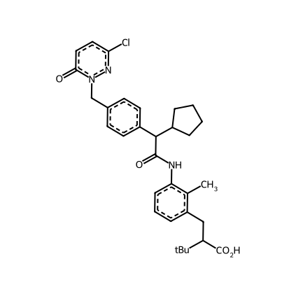 Cc1c(CC(C(=O)O)C(C)(C)C)cccc1NC(=O)C(c1ccc(Cn2nc(Cl)ccc2=O)cc1)C1CCCC1